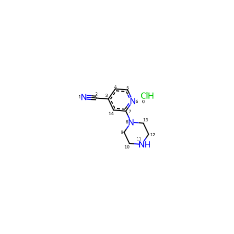 Cl.N#Cc1ccnc(N2CCNCC2)c1